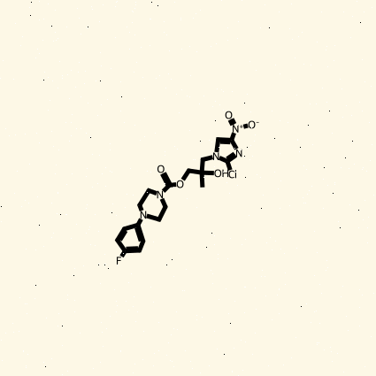 CC(O)(COC(=O)N1CCN(c2ccc(F)cc2)CC1)Cn1cc([N+](=O)[O-])nc1Cl